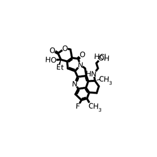 CC[C@@]1(O)C(=O)OCc2c1cc1n(c2=O)Cc2c-1nc1cc(F)c(C)c3c1c2[C@@](C)(NCCO)CC3.Cl